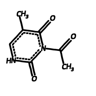 CC(=O)n1c(=O)[nH]cc(C)c1=O